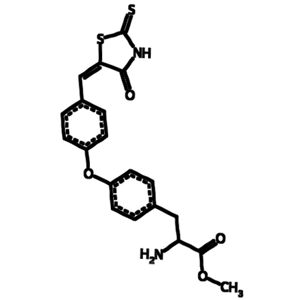 COC(=O)C(N)Cc1ccc(Oc2ccc(C=C3SC(=S)NC3=O)cc2)cc1